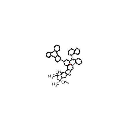 CC1(C)CC(C)(C)c2cc3c(cc21)sc1cc(-c2ccccc2N(c2cccc(-c4ccc5c6ccccc6c6ccccc6c5c4)c2)c2cccc4ccccc24)ccc13